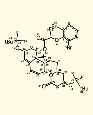 CCC(Oc1c(Br)cccc1Br)C(=O)O[C@H]1C[C@H](O[Si](C)(C)C(C)(C)C)C=C2C=C[C@H](C)[C@H](CC[C@@H]3C[C@@H](O[Si](C)(C)C(C)(C)C)CC(=O)O3)[C@H]21